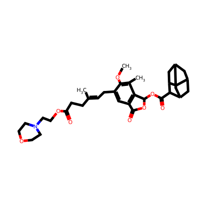 COc1c(C/C=C(\C)CCC(=O)OCCN2CCOCC2)cc2c(c1C)C(OC(=O)C1C3CC4CC(C3)CC1C4)OC2=O